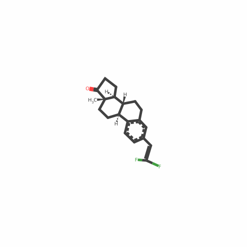 C[C@]12CC[C@@H]3c4ccc(C=C(F)F)cc4CC[C@H]3[C@@H]1CCC2=O